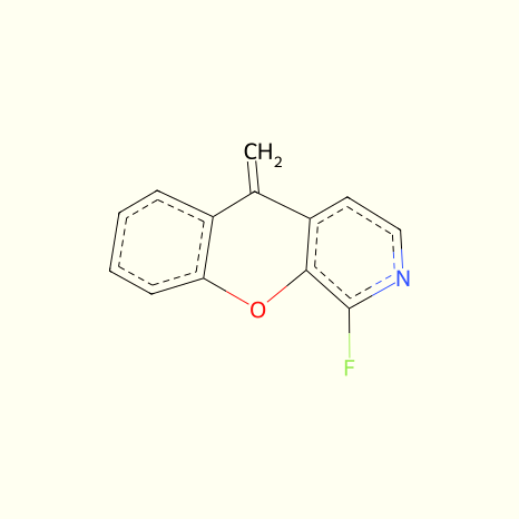 C=C1c2ccccc2Oc2c1ccnc2F